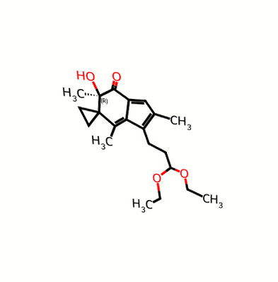 CCOC(CCC1=C(C)C=C2C(=O)[C@](C)(O)C3(CC3)C(C)=C21)OCC